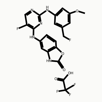 COc1cc(CF)cc(Nc2ncc(F)c(Nc3ccc4oc(=O)[nH]c4c3)n2)c1.O=C(O)C(F)(F)F